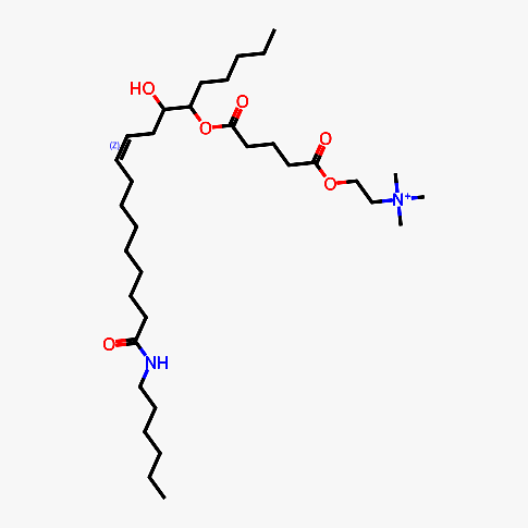 CCCCCCNC(=O)CCCCCCC/C=C\CC(O)C(CCCCC)OC(=O)CCCC(=O)OCC[N+](C)(C)C